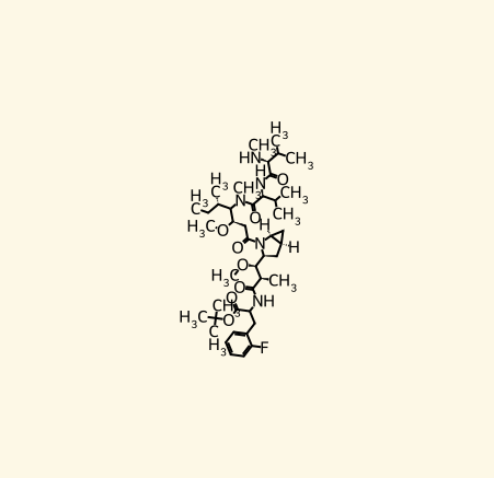 CC[C@H](C)C([C@@H](CC(=O)N1[C@H]2C[C@H]2C[C@H]1[C@H](OC)[C@@H](C)C(=O)NC(Cc1ccccc1F)C(=O)OC(C)(C)C)OC)N(C)C(=O)[C@@H](NC(=O)[C@@H](NC)C(C)C)C(C)C